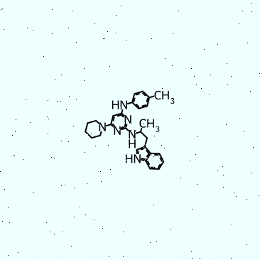 Cc1ccc(Nc2cc(N3CCCCC3)nc(NC(C)Cc3c[nH]c4ccccc34)n2)cc1